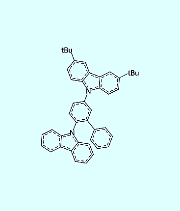 CC(C)(C)c1ccc2c(c1)c1cc(C(C)(C)C)ccc1n2-c1ccc(-n2c3ccccc3c3ccccc32)c(-c2ccccc2)c1